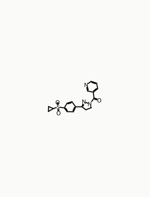 O=C(c1cccnc1)N1CCC(c2ccc(S(=O)(=O)C3CC3)cc2)=N1